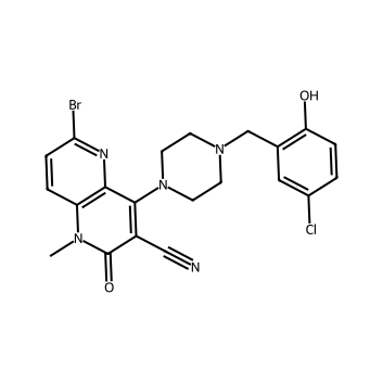 Cn1c(=O)c(C#N)c(N2CCN(Cc3cc(Cl)ccc3O)CC2)c2nc(Br)ccc21